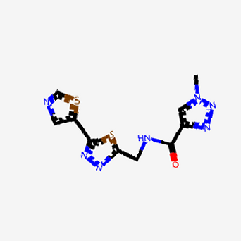 Cn1cc(C(=O)NCc2nnc(-c3cncs3)s2)nn1